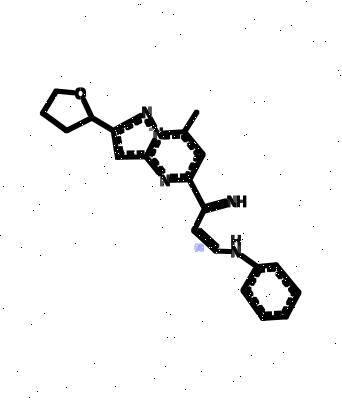 Cc1cc(C(=N)/C=C\Nc2ccccc2)nc2cc(C3CCCO3)nn12